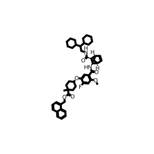 COc1cc(F)c(OC2CCC(C)(C(=O)OCc3cccc4ccccc34)CC2)cc1C(=O)N[C@H]1[C@@H](C(=O)NCC(C2CCCCC2)C2CCCCC2)[C@H]2C=C[C@@H]1C2